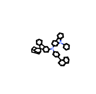 c1ccc(-n2c3ccccc3c3ccc(N(c4ccc(-c5cccc6ccccc56)cc4)c4ccc5c(c4)-c4ccccc4C54C5CC6CC(C5)CC4C6)cc32)cc1